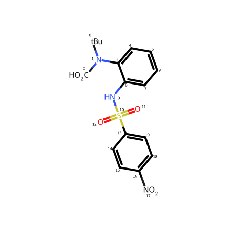 CC(C)(C)N(C(=O)O)c1ccccc1NS(=O)(=O)c1ccc([N+](=O)[O-])cc1